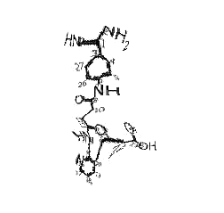 N=C(N)c1ccc(NC(=O)CCC(=O)Nc2ncccc2CCC(=O)O)cc1